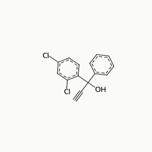 C#CC(O)(c1ccccc1)c1ccc(Cl)cc1Cl